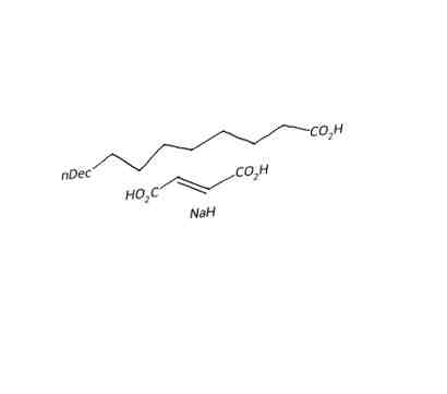 CCCCCCCCCCCCCCCCCC(=O)O.O=C(O)C=CC(=O)O.[NaH]